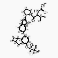 COC(=O)NC(C(=O)N1CCCC1c1nc2ccc(-c3ccc(OS(=O)(=O)C(F)(F)F)c4c3C3CCC3C4)cc2[nH]1)C(C)C